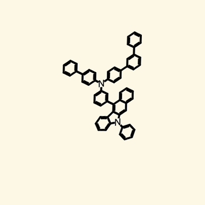 c1ccc(-c2ccc(N(c3ccc(-c4cccc(-c5ccccc5)c4)cc3)c3cccc(-c4c5ccccc5cc5c4c4ccccc4n5-c4ccccc4)c3)cc2)cc1